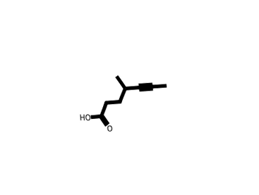 CC#CC(C)CCC(=O)O